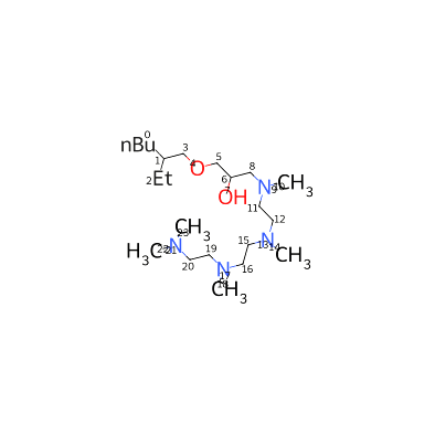 CCCCC(CC)COCC(O)CN(C)CCN(C)CCN(C)CCN(C)C